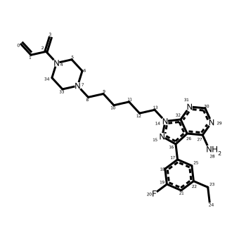 C=CC(=C)N1CCN(CCCCCCn2nc(-c3cc(F)cc(CC)c3)c3c(N)ncnc32)CC1